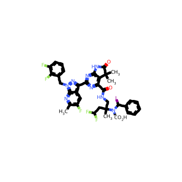 Cc1nc2c(cc1F)c(-c1nc3c(c(C(=O)NCC(C)(CC(F)F)N(C(=O)O)C(I)c4ccccc4)n1)C(C)(C)C(=O)N3)nn2Cc1cccc(F)c1F